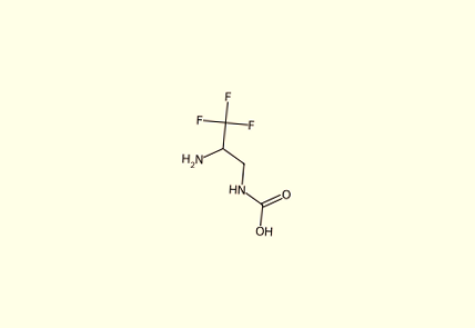 NC(CNC(=O)O)C(F)(F)F